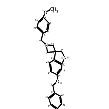 COc1ccc(CN2CC3(CNc4cc(OCc5ccccc5)ccc43)C2)cc1